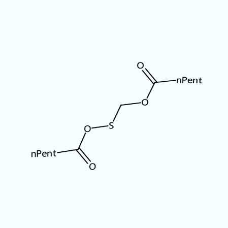 CCCCCC(=O)OCSOC(=O)CCCCC